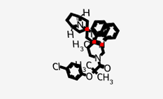 Cc1nc2ccccc2n1C1C[C@H]2CC[C@@H](C1)N2CCC1(c2ccccc2)CCN(C(=O)C(C)(C)Oc2ccc(Cl)cc2)CC1